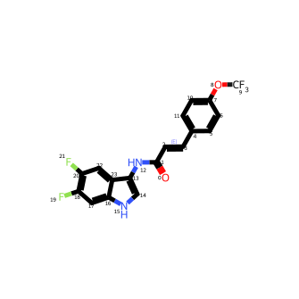 O=C(/C=C/c1ccc(OC(F)(F)F)cc1)Nc1c[nH]c2cc(F)c(F)cc12